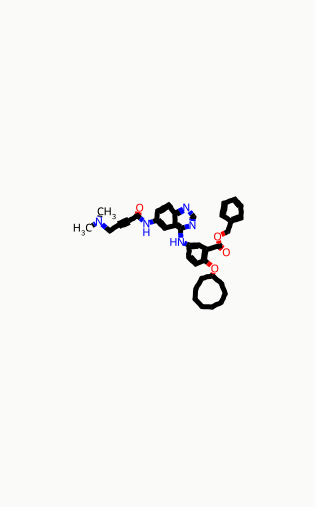 CN(C)CC#CC(=O)Nc1ccc2ncnc(Nc3ccc(OC4CCCCCCCC4)c(C(=O)OCc4ccccc4)c3)c2c1